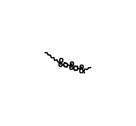 CCCCCCCCCC(=O)Oc1ccc(C(=O)Oc2ccc(C(=O)OC(C)CCCC)cc2)cc1